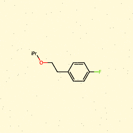 [CH2]C(C)OCCc1ccc(F)cc1